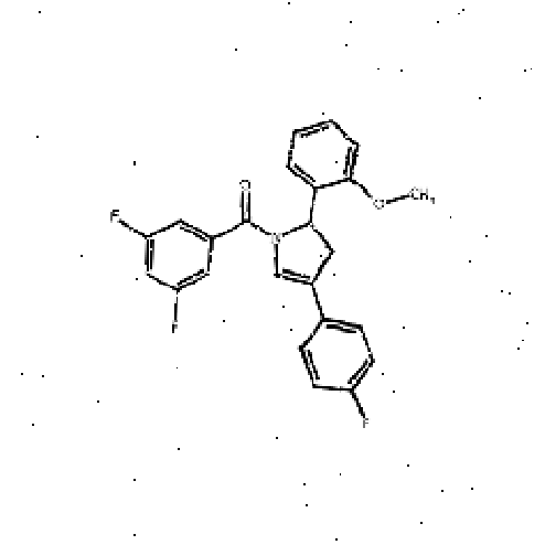 COc1ccccc1C1CC(c2ccc(F)cc2)=CN1C(=O)c1cc(F)cc(F)c1